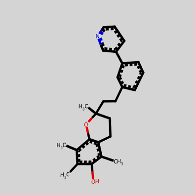 Cc1c(C)c2c(c(C)c1O)CCC(C)(CCc1cccc(-c3cccnc3)c1)O2